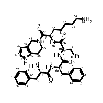 CC(C)C[C@@H](NC(=O)[C@@H](Cc1ccccc1)NC(=O)[C@H](N)Cc1ccccc1)C(=O)N[C@H](CCCCCN)C(=O)N1CCc2[nH]ncc2C1